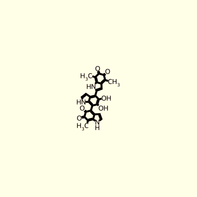 CC1=c2cc(-c3c(O)c(O)c(C4=c5cc[nH]c5=C(C)C(=O)C4=O)c4[nH]ccc34)[nH]c2=C(C)C(=O)C1=O